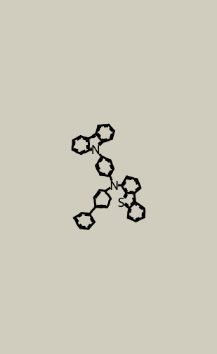 C1=CC(N(c2ccc(-n3c4ccccc4c4ccccc43)cc2)c2cccc3c2sc2ccccc23)CC=C1c1ccccc1